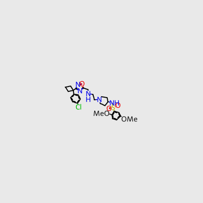 COc1ccc(OC)c(S(=O)(=O)NC2CCN(CCNCc3nc(C4(c5ccc(Cl)cc5)CCC4)no3)CC2)c1